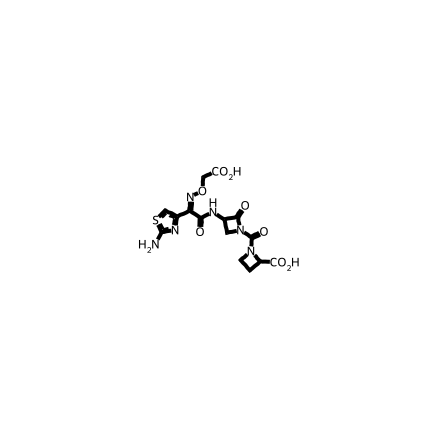 Nc1nc(C(=NOCC(=O)O)C(=O)NC2CN(C(=O)N3CCC3C(=O)O)C2=O)cs1